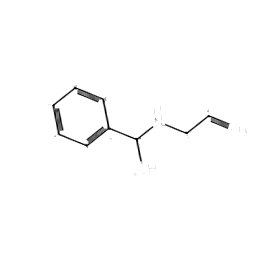 CC(NCC=O)c1ccccc1